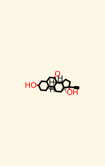 C#CC1(O)CC[C@H]2[C@@H]3C(=O)CC4CC(O)CC[C@]4(C)[C@@H]3CC[C@@]21C